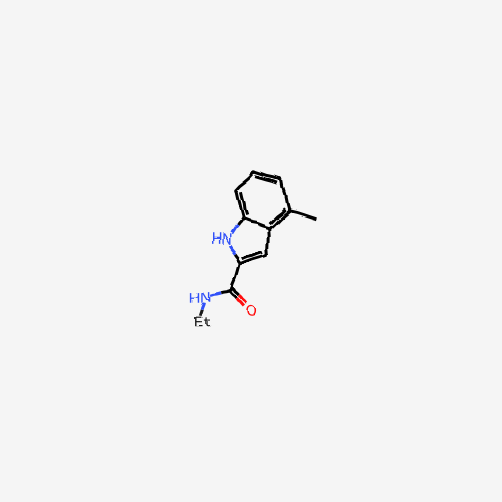 CCNC(=O)c1cc2c(C)cccc2[nH]1